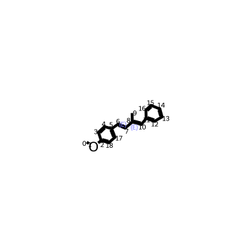 COc1ccc(/C=C/C(C)=C/c2ccccc2)cc1